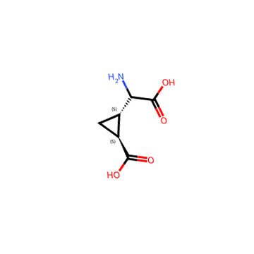 NC(C(=O)O)[C@H]1C[C@@H]1C(=O)O